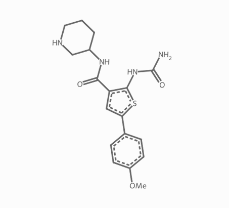 COc1ccc(-c2cc(C(=O)NC3CCCNC3)c(NC(N)=O)s2)cc1